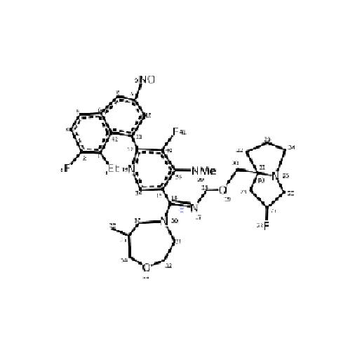 CCc1c(F)ccc2cc(N=O)cc(-c3ncc(/C(=N\COC[C@@]45CCCN4CC(F)C5)N4CCOCC(C)C4)c(NC)c3F)c12